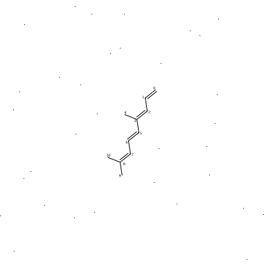 C=C/C=C(\C)C=CC=C(C)C